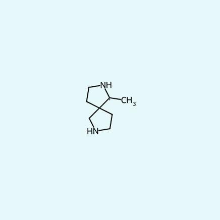 C[C]1NCCC12CCNC2